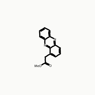 COC(=O)Cc1cccc2nc3ccccc3nc12